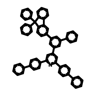 c1ccc(-c2ccc(-c3cc(-c4cc(-c5ccccc5)cc(-c5ccc6c(c5)-c5ccccc5C6(c5ccccc5)c5ccccc5)c4)cc(-c4ccc(-c5ccccc5)cc4)n3)cc2)cc1